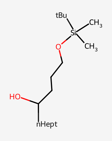 CCCCCCCC(O)CCCO[Si](C)(C)C(C)(C)C